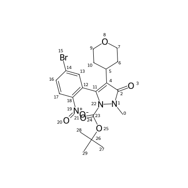 Cn1c(=O)c(C2CCOCC2)c(-c2cc(Br)ccc2[N+](=O)[O-])n1C(=O)OC(C)(C)C